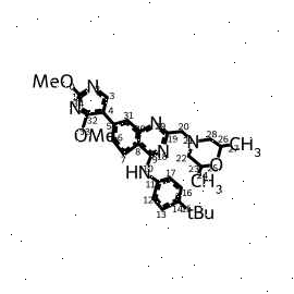 COc1ncc(-c2ccc3c(Nc4ccc(C(C)(C)C)cc4)nc(CN4CC(C)OC(C)C4)nc3c2)c(OC)n1